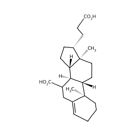 C[C@]12CC[C@H]3[C@@H](C(C(=O)O)CC4=CCCC[C@@]43C)[C@@H]1CC[C@@H]2CCC(=O)O